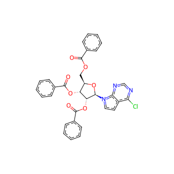 O=C(OC[C@H]1O[C@@H](n2ccc3c(Cl)ncnc32)[C@H](OC(=O)c2ccccc2)[C@@H]1OC(=O)c1ccccc1)c1ccccc1